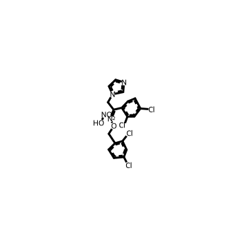 Clc1ccc(CON=C(Cn2ccnc2)c2ccc(Cl)cc2Cl)c(Cl)c1.O=[N+]([O-])O